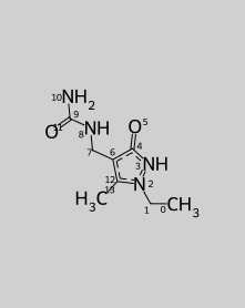 CCn1[nH]c(=O)c(CNC(N)=O)c1C